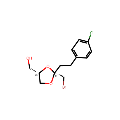 OC[C@H]1CO[C@](CBr)(CCc2ccc(Cl)cc2)O1